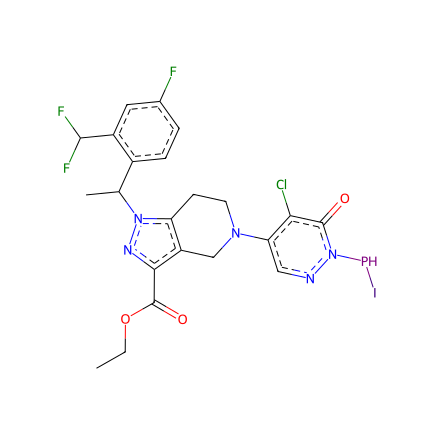 CCOC(=O)c1nn(C(C)c2ccc(F)cc2C(F)F)c2c1CN(c1cnn(PI)c(=O)c1Cl)CC2